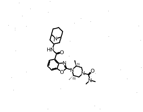 C[C@H]1CN(C(=O)N(C)C)C[C@H](C)N1c1nc2c(C(=O)NC3CC4CCCC(C3)N4C)cccc2o1